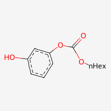 CCCCCCOC(=O)Oc1cccc(O)c1